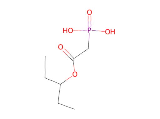 CCC(CC)OC(=O)CP(=O)(O)O